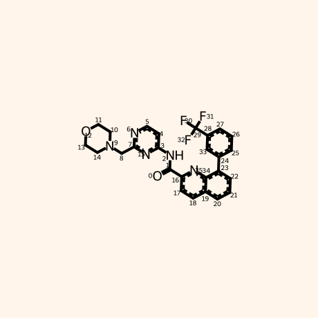 O=C(Nc1ccnc(CN2CCOCC2)n1)c1ccc2cccc(-c3cccc(C(F)(F)F)c3)c2n1